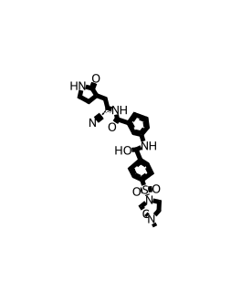 CN1CCN(S(=O)(=O)c2ccc(C(O)Nc3cccc(C(=O)N[C@H](C#N)CC4CCNC4=O)c3)cc2)CC1